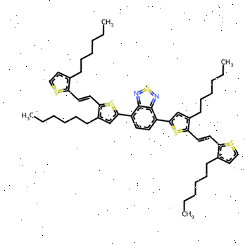 CCCCCCc1ccsc1/C=C/c1sc(-c2ccc(-c3cc(CCCCCC)c(/C=C/c4sccc4CCCCCC)s3)c3nsnc23)cc1CCCCCC